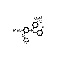 COc1ccc(N(Cc2cccc(F)c2)c2ccc(S(C)(=O)=O)cc2)cc1O[C@@H]1CCOC1